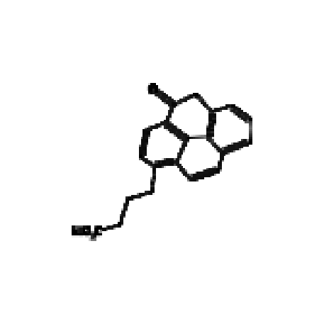 CCOC(=O)CCCc1ccc2c3c1ccc1cccc(c13)CC2=O